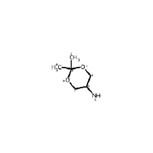 CC1(C)OCC([NH])CO1